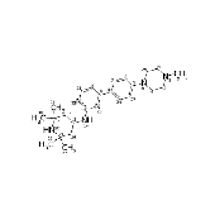 CN1CCN(c2ccc(-c3ccnc(NC4CC(C)(C)NC(C)(C)C4)n3)cc2)CC1